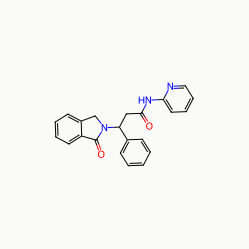 O=C(CC(c1ccccc1)N1Cc2ccccc2C1=O)Nc1ccccn1